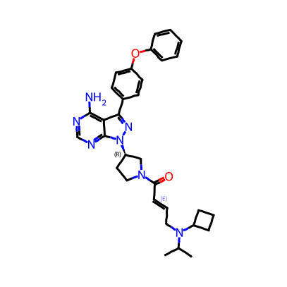 CC(C)N(C/C=C/C(=O)N1CC[C@@H](n2nc(-c3ccc(Oc4ccccc4)cc3)c3c(N)ncnc32)C1)C1CCC1